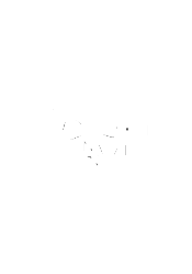 COc1c(F)cc2ncn(-c3ccc(Br)cc3)c2c1F